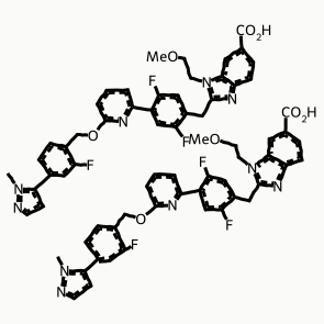 COCCn1c(Cc2cc(F)c(-c3cccc(OCc4ccc(-c5ccnn5C)cc4F)n3)cc2F)nc2ccc(C(=O)O)cc21.COCCn1c(Cc2cc(F)c(-c3cccc(OCc4ccc(-c5ccnn5C)cc4F)n3)cc2F)nc2ccc(C(=O)O)cc21